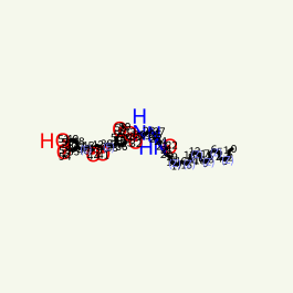 CC/C=C\C/C=C\C/C=C\C/C=C\C/C=C\C/C=C\CCC(=O)NCCN(C)CCNC(=O)Oc1ccc(/C=C/C(=O)CC(=O)/C=C/c2ccc(O)c(OC)c2)cc1OC